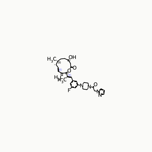 C/C(=C\c1cc(F)cc(N2CCN(C(=O)Cn3cccn3)CC2)c1)[C@@H]1OC(=O)C[C@@H](O)CC[C@@H](C)[CH]/C=C/[C@H]1C